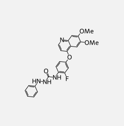 COc1cc2nccc(Oc3ccc(NC(=O)NNc4ccccc4)c(F)c3)c2cc1OC